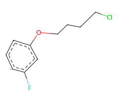 Fc1[c]ccc(OCCCCCl)c1